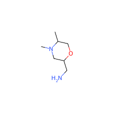 CC1COC(CN)CN1C